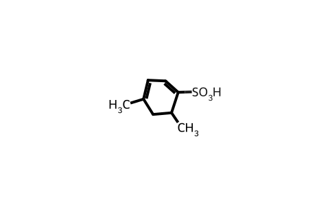 CC1=CC=C(S(=O)(=O)O)C(C)C1